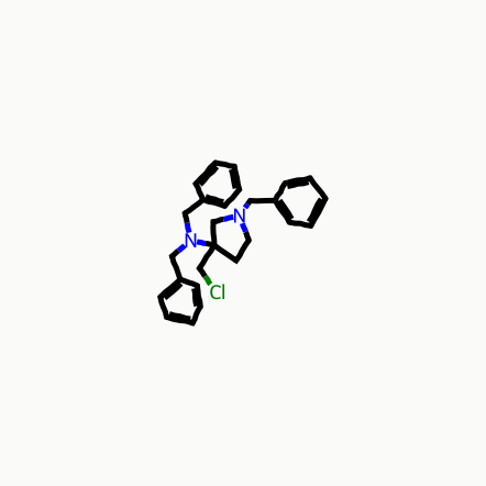 ClCC1(N(Cc2ccccc2)Cc2ccccc2)CCN(Cc2ccccc2)C1